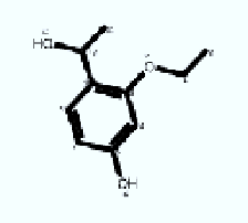 CCOc1cc(O)ccc1C(C)O